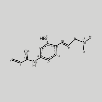 Br.C=CC(=O)Nc1ccc(C=CCN(C)C)cc1